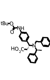 C[C@@H](c1ccccc1)N(Cc1ccccc1)[C@H](CC(=O)O)c1ccc(NC(=O)OC(C)(C)C)cc1